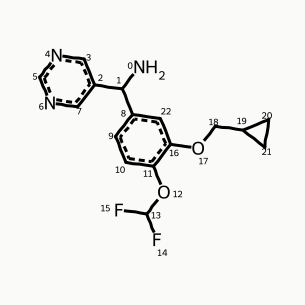 NC(c1cncnc1)c1ccc(OC(F)F)c(OCC2CC2)c1